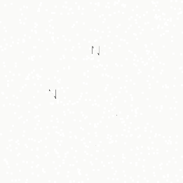 CC1(C2=NC=C[N]2)CC1